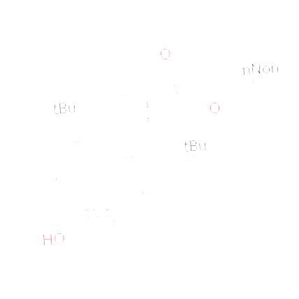 CCCCCCCCCOC(=O)C(C)(c1ccc(O)cc1C(C)(C)C)C(C)(C)C